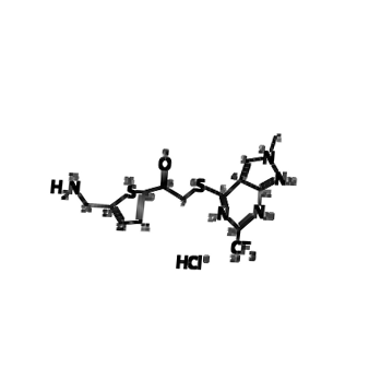 Cl.Cn1cc2c(SCC(=O)c3ccc(CN)s3)nc(C(F)(F)F)nc2n1